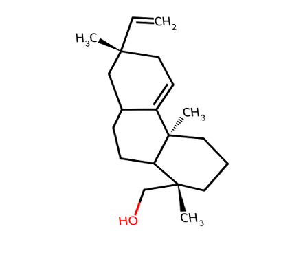 C=C[C@]1(C)CC=C2C(CCC3[C@@](C)(CO)CCC[C@]23C)C1